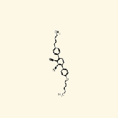 CCCCCOc1ccc(-c2ccc(-c3ccc(CCCCC)cc3)c(C#N)c2C#N)cc1